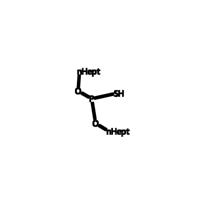 CCCCCCCOP(S)OCCCCCCC